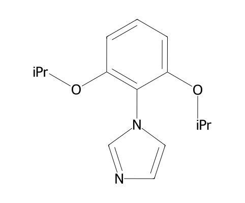 CC(C)Oc1cccc(OC(C)C)c1-n1ccnc1